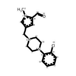 Cn1cc(CN2CCN(c3ccccc3Cl)CC2)cc1C=O